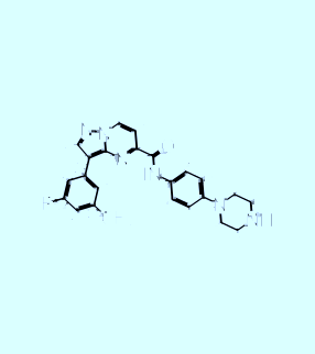 O=C(Nc1ccc(N2CCNCC2)cc1)c1ccn2ncc(-c3cc(F)cc(C(F)(F)F)c3)c2n1